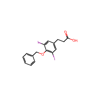 O=C(O)CCc1cc(I)c(OCc2ccccc2)c(I)c1